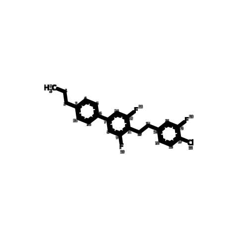 CCCc1ccc(-c2cc(F)c(CCc3ccc(Cl)c(F)c3)c(F)c2)cc1